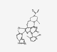 C=CC(=O)N1CC(C)N2c3nc(=O)n(-c4c(C)ccnc4C(C)C)c4nc(-c5c(C)ccc6[nH]ncc56)c(Cl)c(c34)SCC2C1